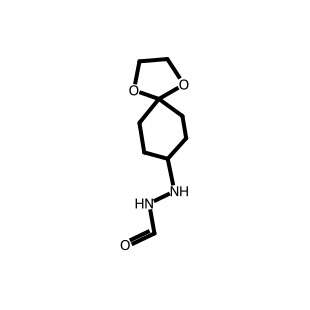 O=CNNC1CCC2(CC1)OCCO2